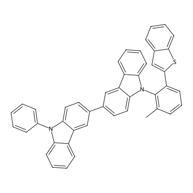 Cc1cccc(-c2cc3ccccc3s2)c1-n1c2ccccc2c2cc(-c3ccc4c(c3)c3ccccc3n4-c3ccccc3)ccc21